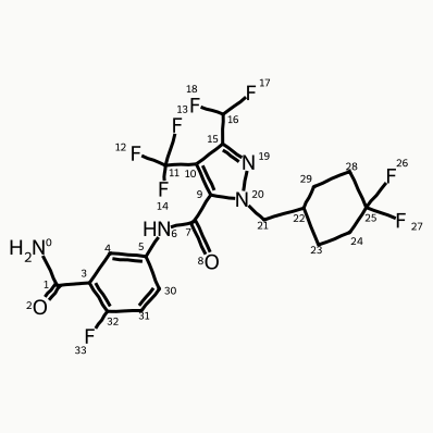 NC(=O)c1cc(NC(=O)c2c(C(F)(F)F)c(C(F)F)nn2CC2CCC(F)(F)CC2)ccc1F